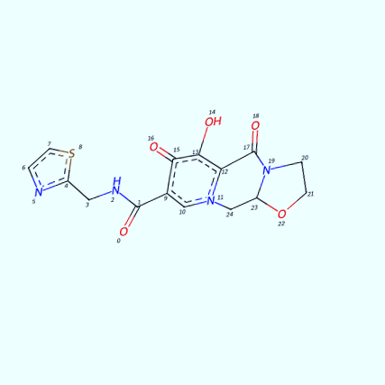 O=C(NCc1nccs1)c1cn2c(c(O)c1=O)C(=O)N1CCOC1C2